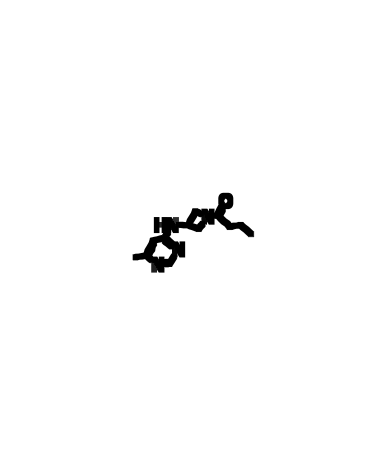 CCCC(=O)N1CC(Nc2cc(C)ncn2)C1